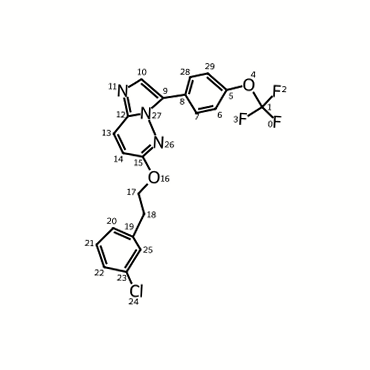 FC(F)(F)Oc1ccc(-c2cnc3ccc(OCCc4cccc(Cl)c4)nn23)cc1